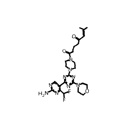 CC(C)=CC(=O)CCCC(=O)N1CCN(c2nc(-c3cnc(N)nc3C(F)F)nc(N3CCOCC3)n2)CC1